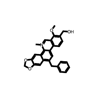 COc1c(CO)ccc2c1c[n+](C)c1c3cc4c(cc3c(Cc3ccccc3)cc21)OCO4